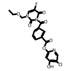 CCOCn1cc(F)c(=O)n(C(=O)c2cccc(C(=O)Oc3cc(O)c(Cl)cn3)c2)c1=O